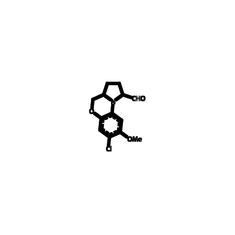 COc1cc2c(cc1Cl)OCC1CCC(C=O)N21